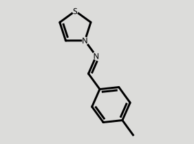 Cc1ccc(C=NN2C=CSC2)cc1